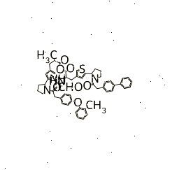 Cc1ccccc1Oc1ccc(CC(=O)N2CCCC2c2cc(CC(C)C(=O)OC(=O)C(Cc3csc(C4CCCN4C(=O)Cc4ccc(-c5ccccc5)cc4)c3)NC=O)c[nH]2)cc1